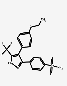 CCOc1ccc(-c2c(-c3ccc(S(N)(=O)=O)cc3)n[nH]c2C(F)(F)F)cc1